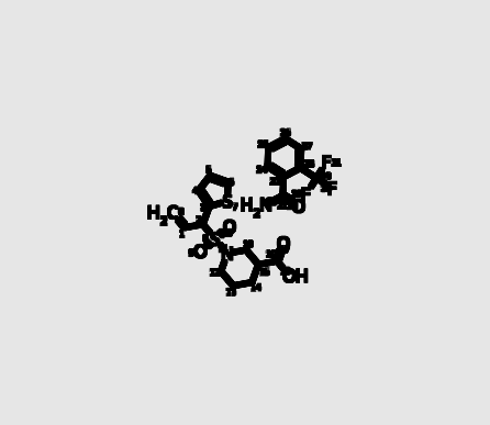 C=CC(c1cccs1)S(=O)(=O)N1CCCC(C(=O)O)C1.NC(=O)c1ccccc1C(F)(F)F